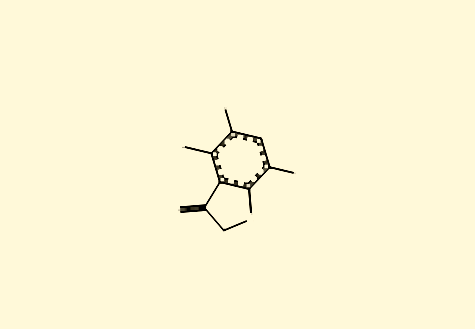 O=C1CSc2c(Cl)cc(Cl)c(I)c21